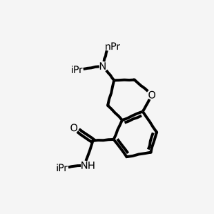 CCCN(C(C)C)C1COc2cccc(C(=O)NC(C)C)c2C1